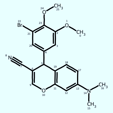 COc1cc(C2C(C#N)=COc3cc(N(C)C)ccc32)cc(Br)c1OC